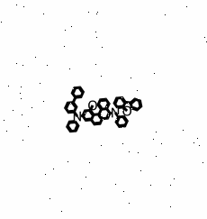 c1ccc(-c2cccc(N(c3ccccc3)c3cc4c5c(ccc6cc(N(c7ccccc7)c7cccc8c7oc7ccccc78)c7cccc(c7c65)O4)c3)c2)cc1